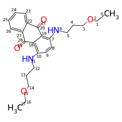 CCOCCCNc1ccc(NCCCOCC)c2c1C(=O)c1ccccc1C2=O